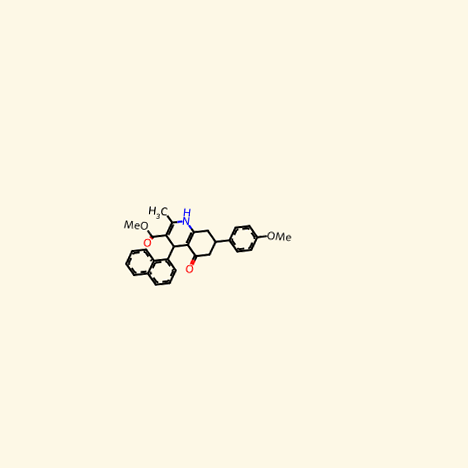 COC(=O)C1=C(C)NC2=C(C(=O)CC(c3ccc(OC)cc3)C2)C1c1cccc2ccccc12